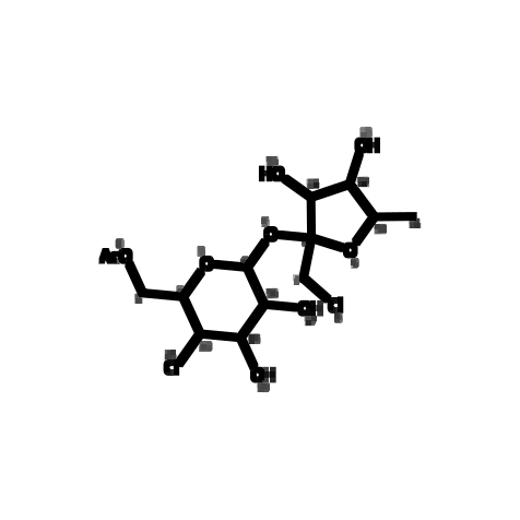 CC(=O)OCC1OC(OC2(CCl)OC(C)C(O)C2O)C(O)C(O)C1Cl